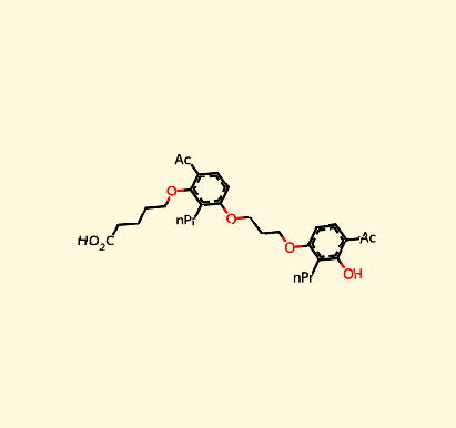 CCCc1c(OCCCOc2ccc(C(C)=O)c(OCCCCC(=O)O)c2CCC)ccc(C(C)=O)c1O